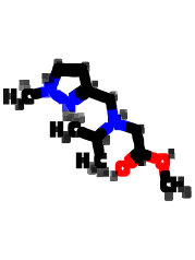 COC(=O)CN(Cc1ccn(C)n1)C(C)C